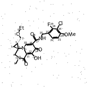 CCOC[C@H]1C[C@@]12CN(C)C(=O)c1c(O)c(=O)c(C(=O)NCc3ccc(OC)c(Cl)c3F)cn12